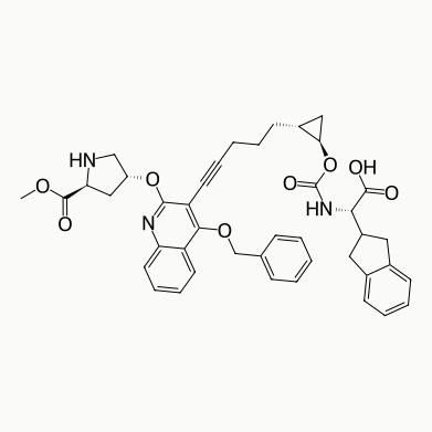 COC(=O)[C@@H]1C[C@@H](Oc2nc3ccccc3c(OCc3ccccc3)c2C#CCCC[C@@H]2C[C@H]2OC(=O)N[C@H](C(=O)O)C2Cc3ccccc3C2)CN1